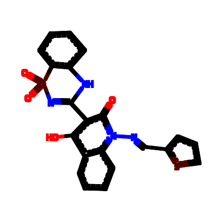 O=c1c(C2=NS(=O)(=O)c3ccccc3N2)c(O)c2ccccc2n1N=Cc1cccs1